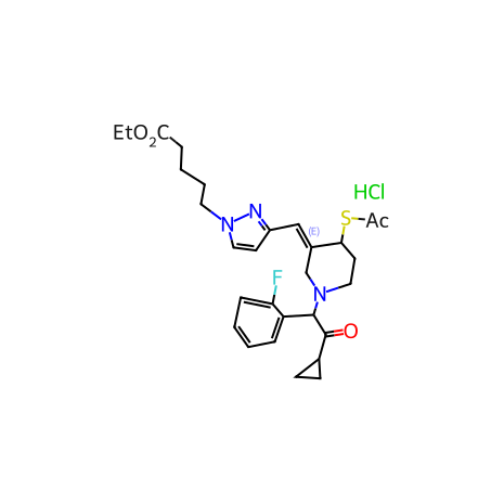 CCOC(=O)CCCCn1ccc(/C=C2\CN(C(C(=O)C3CC3)c3ccccc3F)CCC2SC(C)=O)n1.Cl